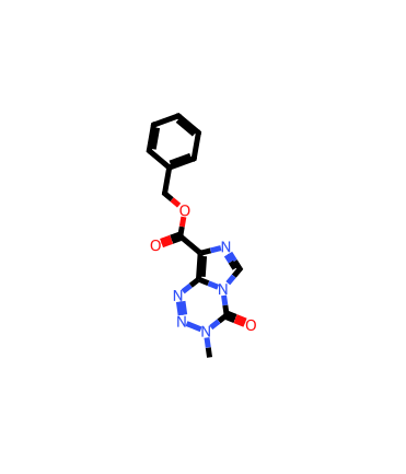 Cn1nnc2c(C(=O)OCc3ccccc3)ncn2c1=O